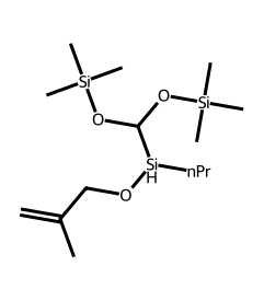 C=C(C)CO[SiH](CCC)C(O[Si](C)(C)C)O[Si](C)(C)C